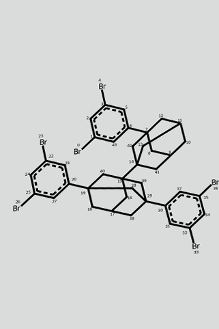 Brc1cc(Br)cc(C23CC4CC(C2)CC(C25CC6CC(c7cc(Br)cc(Br)c7)(CC(c7cc(Br)cc(Br)c7)(C6)C2)C5)(C4)C3)c1